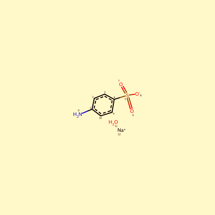 Nc1ccc(S(=O)(=O)[O-])cc1.O.[Na+]